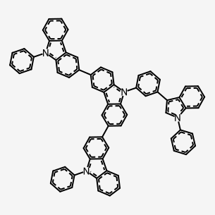 c1ccc(-n2cc(-c3cccc(-n4c5ccc(-c6ccc7c(c6)c6ccccc6n7-c6ccccc6)cc5c5cc(-c6ccc7c(c6)c6ccccc6n7-c6ccccc6)ccc54)c3)c3ccccc32)cc1